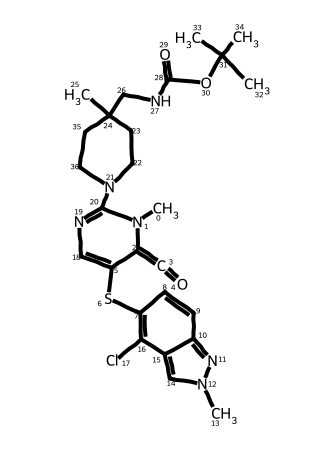 CN1C(=C=O)C(Sc2ccc3nn(C)cc3c2Cl)=CN=C1N1CCC(C)(CNC(=O)OC(C)(C)C)CC1